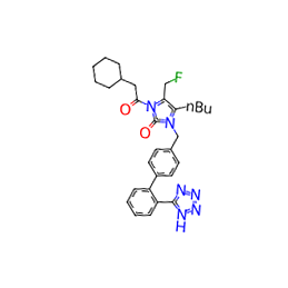 CCCCc1c(CF)n(C(=O)CC2CCCCC2)c(=O)n1Cc1ccc(-c2ccccc2-c2nnn[nH]2)cc1